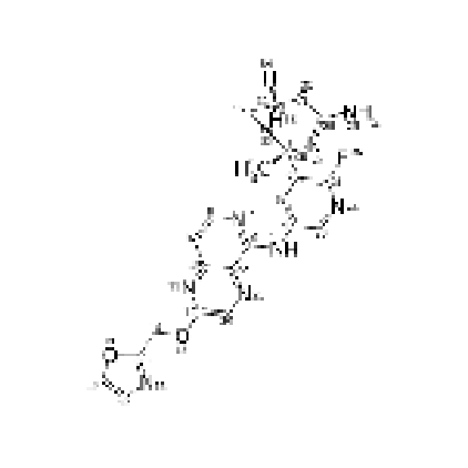 C[C@]1(c2cc(Nc3nccc4nc(OCc5ncco5)cnc34)cnc2F)N=C(N)S[C@H]2C[C@H]21